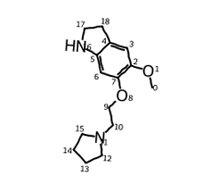 COc1cc2c(cc1OCCN1CCCC1)NCC2